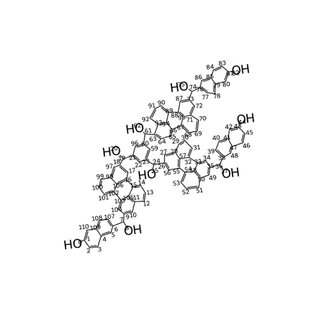 Oc1ccc2cc(C(O)c3cc4cccc5c6cc(C(O)c7cc(C(O)c8cc9cccc%10c%11cc(C(O)c%12ccc%13cc(O)ccc%13c%12)cc%12cccc(c(c8)c9%10)c%12%11)cc(C(O)c8ccc9c%10cccc%11cc(C(O)c%12ccc%13cc(O)ccc%13c%12)cc(c%12cccc8c9%12)c%11%10)c7)cc7cccc(c(c3)c45)c76)ccc2c1